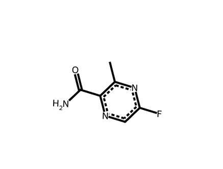 Cc1nc(F)cnc1C(N)=O